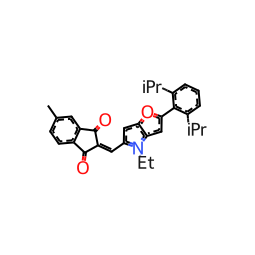 CCn1c(/C=C2/C(=O)c3ccc(C)cc3C2=O)cc2oc(-c3c(C(C)C)cccc3C(C)C)cc21